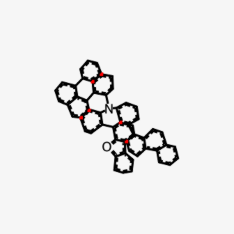 c1ccc(-c2cccc3cccc(-c4ccccc4N(c4cccc(-c5cccc6c5ccc5ccccc56)c4)c4ccccc4-c4cccc5c4oc4ccccc45)c23)cc1